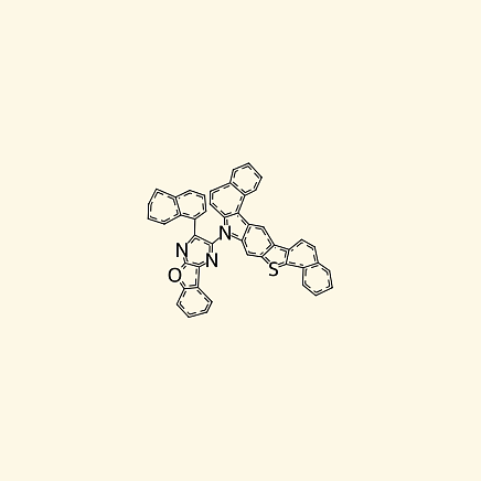 c1ccc2c(-c3nc4oc5ccccc5c4nc3-n3c4cc5sc6c7ccccc7ccc6c5cc4c4c5ccccc5ccc43)cccc2c1